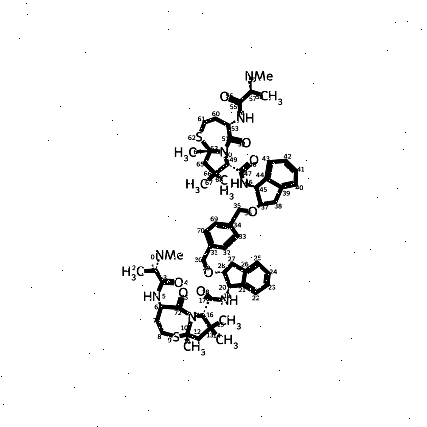 CN[C@@H](C)C(=O)N[C@H]1CCS[C@@]2(C)CC(C)(C)[C@@H](C(=O)N[C@H]3c4ccccc4C[C@H]3OCc3ccc(CO[C@@H]4Cc5ccccc5[C@@H]4NC(=O)[C@H]4N5C(=O)[C@@H](NC(=O)[C@H](C)NC)CCS[C@@]5(C)CC4(C)C)cc3)N2C1=O